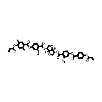 C=CC(=O)Oc1ccc(C(=O)Oc2ccc(C(=O)O[C@H]3CO[C@H]4[C@@H]3OC[C@H]4OC(=O)c3ccc(OC(=O)c4cc(C)c(OC(=O)C=C)cc4C)cc3OC)c(OC)c2)cc1